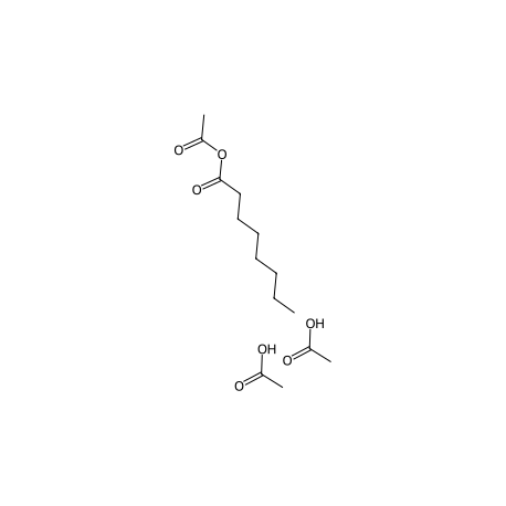 CC(=O)O.CC(=O)O.CCCCCCCC(=O)OC(C)=O